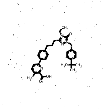 CCn1c(CCCc2ccc(-c3ccc(C)c(C(=O)O)n3)cc2)nn(Cc2ccc(C(C)(C)C)cc2)c1=O